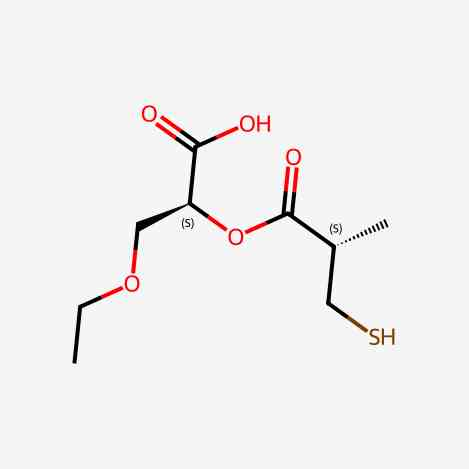 CCOC[C@H](OC(=O)[C@H](C)CS)C(=O)O